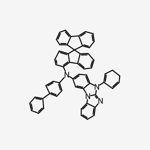 C1=CC(n2c3ccc(N(c4ccc(-c5ccccc5)cc4)c4cccc5c4-c4ccccc4C54c5ccccc5-c5ccccc54)cc3n3c4ccccc4nc23)=CCC1